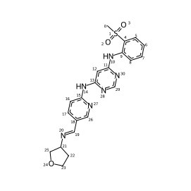 CS(=O)(=O)c1ccccc1Nc1cc(Nc2ccc(C=NC3CCOC3)cn2)ncn1